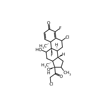 CC1C[C@H]2[C@@H]3CC(Cl)C4=C(F)C(=O)C=C[C@]4(C)[C@@]3(F)C(O)C[C@]2(C)[C@@]1(O)C(=O)CCl